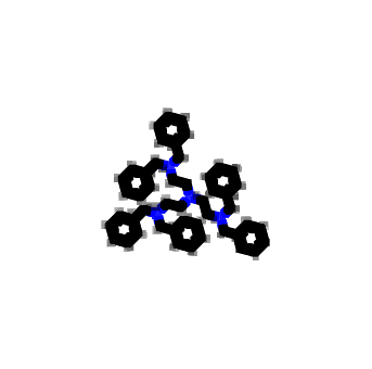 c1ccc(CN(CCN(CCN(Cc2ccccc2)Cc2ccccc2)CCN(Cc2ccccc2)Cc2ccccc2)Cc2ccccc2)cc1